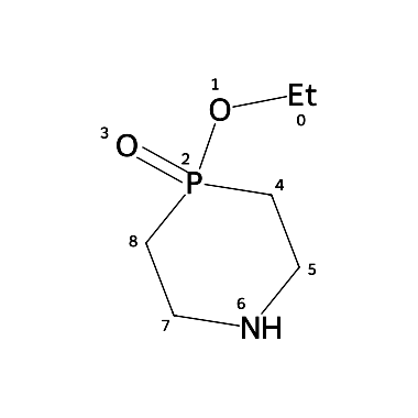 CCOP1(=O)CCNCC1